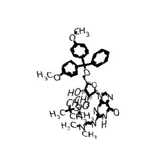 COc1ccc(C(OC[C@H]2O[C@@H](n3cnc4c(=O)[nH]c(N=CN(C)C)nc43)[C@H](O[Si](C)(C)C(C)(C)C)[C@@H]2O)(c2ccccc2)c2ccc(OC)cc2)cc1